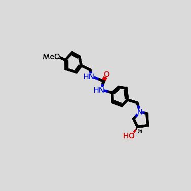 COc1ccc(CNC(=O)Nc2ccc(CN3CC[C@@H](O)C3)cc2)cc1